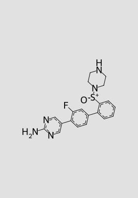 Nc1ncc(-c2ccc(-c3ccccc3[S+]([O-])N3CCNCC3)cc2F)cn1